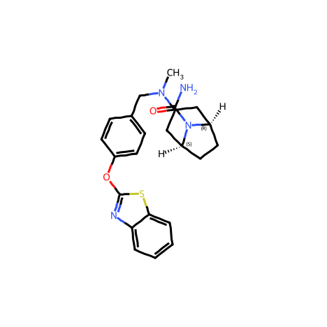 CN(Cc1ccc(Oc2nc3ccccc3s2)cc1)C1C[C@H]2CC[C@@H](C1)N2C(N)=O